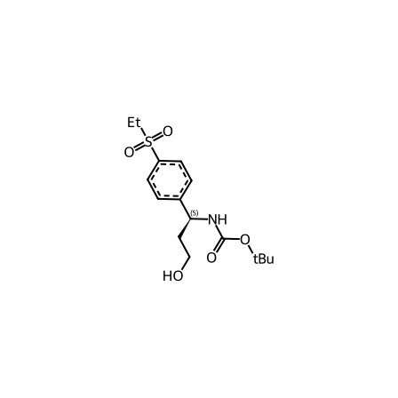 CCS(=O)(=O)c1ccc([C@H](CCO)NC(=O)OC(C)(C)C)cc1